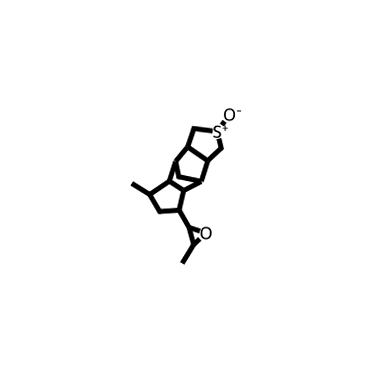 CC1CC(C2OC2C)C2C3CC(C4C[S+]([O-])CC43)C12